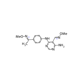 CO/N=C/c1c(N)ncnc1Nc1ccc(/C(C)=N/OC)cc1